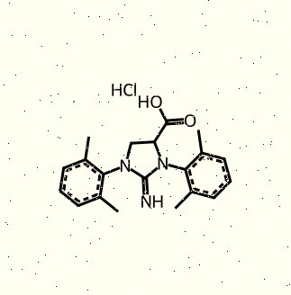 Cc1cccc(C)c1N1CC(C(=O)O)N(c2c(C)cccc2C)C1=N.Cl